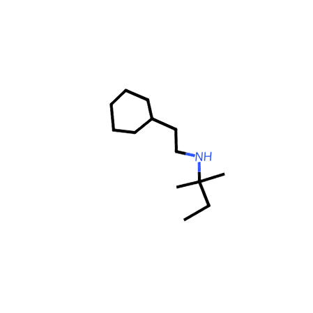 CCC(C)(C)NCCC1CCCCC1